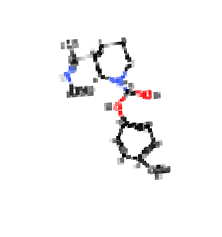 CO/N=C(/C#N)C1=CCCN(C(=O)Oc2ccc(OC)cc2)C1